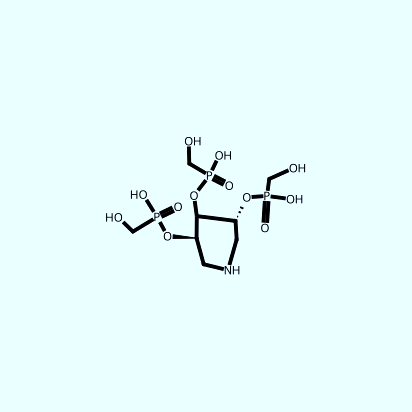 O=P(O)(CO)OC1[C@H](OP(=O)(O)CO)CNC[C@H]1OP(=O)(O)CO